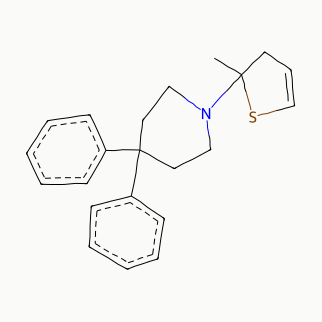 CC1(N2CCC(c3ccccc3)(c3ccccc3)CC2)CC=CS1